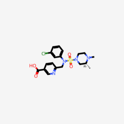 C[C@@H]1CN(S(=O)(=O)N(Cc2ccc(C(=O)O)cn2)c2cccc(Cl)c2)CCN1C